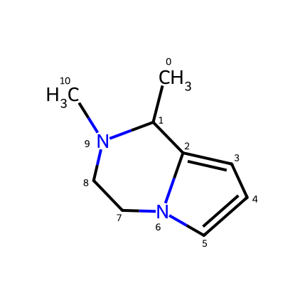 CC1c2cccn2CCN1C